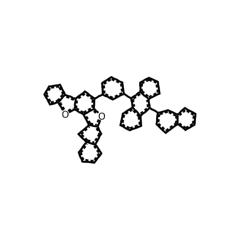 c1cc(-c2c3ccccc3c(-c3ccc4ccccc4c3)c3ccccc23)cc(-c2cc3c4ccccc4oc3c3c2oc2cc4ccccc4cc23)c1